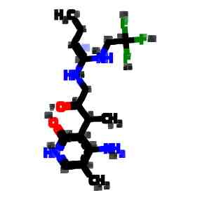 CC/C=C(/NCC(=O)C(C)c1c(N)c(C)c[nH]c1=O)NCC(F)(F)F